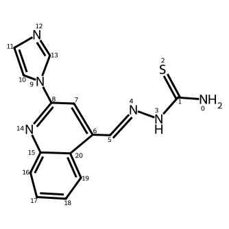 NC(=S)N/N=C/c1cc(-n2ccnc2)nc2ccccc12